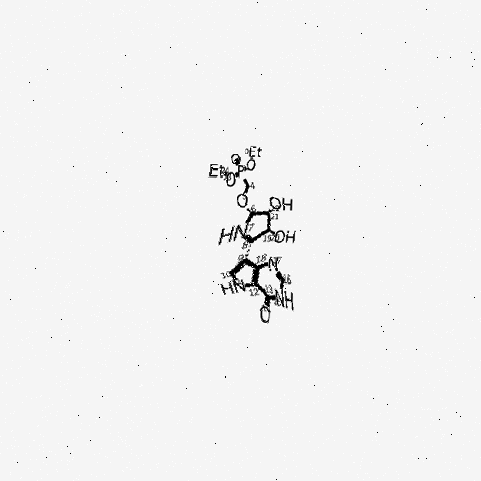 CCOP(=O)(CO[C@H]1N[C@@H](c2c[nH]c3c(=O)[nH]cnc23)[C@H](O)[C@@H]1O)OCC